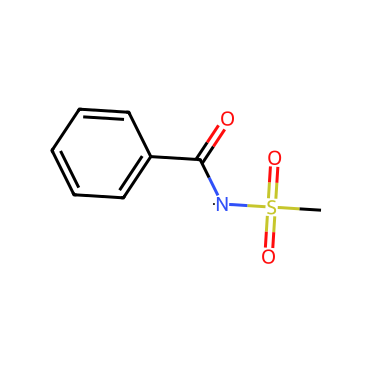 CS(=O)(=O)[N]C(=O)c1ccccc1